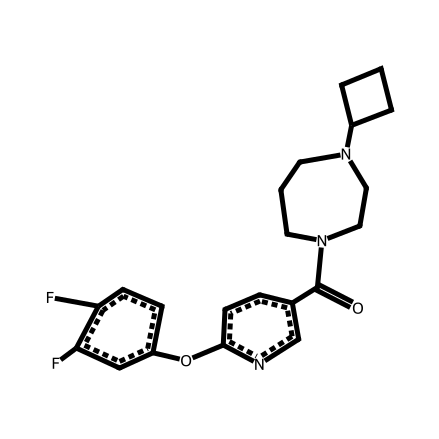 O=C(c1ccc(Oc2ccc(F)c(F)c2)nc1)N1CCCN(C2CCC2)CC1